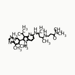 Cc1c(-c2[nH]c3ccc(N[C@H](C)CC(C)NCCC(=O)N(C)C)nc3c2C(C)C)cn2ncnc2c1C